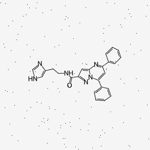 O=C(NCCc1c[nH]cn1)c1cc2nc(-c3ccccc3)cc(-c3ccccc3)n2n1